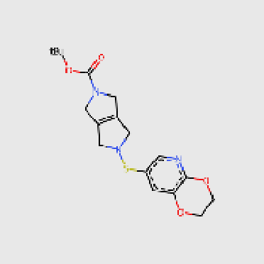 CC(C)(C)OC(=O)N1CC2=C(CN(Sc3cnc4c(c3)OCCO4)C2)C1